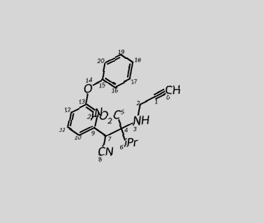 C#CCNC(C(=O)O)(C(C)C)C(C#N)c1cccc(Oc2ccccc2)n1